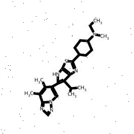 CCN(C)C1CCC(c2nc3c(C(C)C)c(-c4cn5ncnc5c(C)c4C)[nH]c3s2)CC1